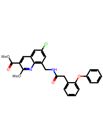 COC(=O)c1cc2cc(Cl)cc(CNC(=O)Cc3ccccc3Oc3ccccc3)c2nc1OC